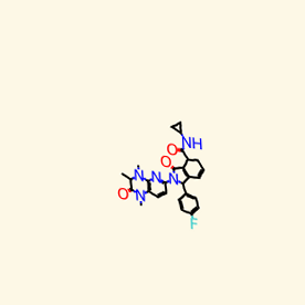 CC1C(=O)N(C)c2ccc(N3C(=O)C4=C(C=CCC4C(=O)NC4CC4)C3c3ccc(F)cc3)nc2N1C